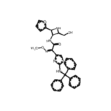 CON=C(C(=O)NC1C(CS)NC1c1ccco1)c1csc(NC(c2ccccc2)(c2ccccc2)c2ccccc2)n1